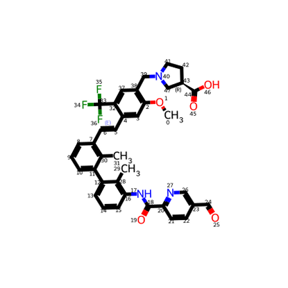 COc1cc(/C=C/c2cccc(-c3cccc(NC(=O)c4ccc(C=O)cn4)c3C)c2C)c(C(F)(F)F)cc1CN1CC[C@@H](C(=O)O)C1